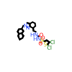 O=C(NCC=C1CCCc2cn(Cc3ccc4ccccc4c3)nc21)NS(=O)(=O)c1cc(Cl)c(Cl)s1